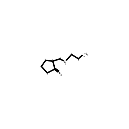 CCCOCC1CCCC1=O